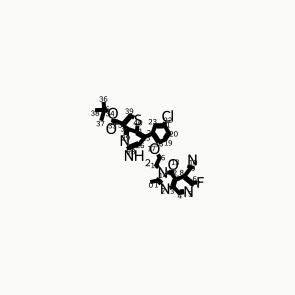 Cc1nc2cnc(F)c(C#N)c2c(=O)n1CCOc1ccc(Cl)cc1-c1cc(N)nc2c(C(=O)OC(C)(C)C)csc12